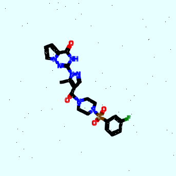 Cc1c(C(=O)N2CCN(S(=O)(=O)c3cccc(F)c3)CC2)cnn1-c1nn2cccc2c(=O)[nH]1